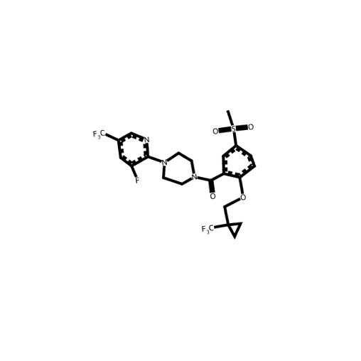 CS(=O)(=O)c1ccc(OCC2(C(F)(F)F)CC2)c(C(=O)N2CCN(c3ncc(C(F)(F)F)cc3F)CC2)c1